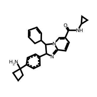 NC1(c2ccc(C3N=C4C=CC(C(=O)NC5CC5)=CN4C3C3C=CC=CC3)cc2)CCC1